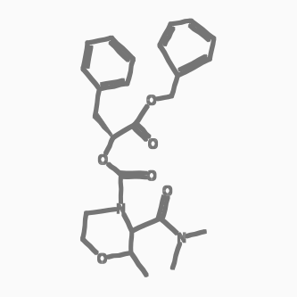 CC1OCCN(C(=O)O[C@@H](Cc2ccccc2)C(=O)OCc2ccccc2)C1C(=O)N(C)C